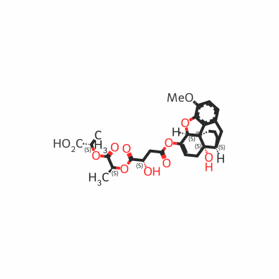 COc1ccc2c3c1O[C@@H]1C(OC(=O)C[C@H](O)C(=O)O[C@@H](C)C(=O)O[C@@H](C)C(=O)O)=CC[C@]4(O)[C@@H](CCC[C@@]314)C2